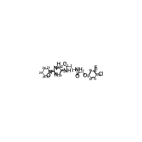 C=C(CCNC(=O)COc1ccc(Cl)c(F)c1)Nc1cnc(N2CCCCO2)nc1